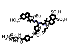 CCCC[N+]1=C(/C=C/C(=C/C=C2/N(CCCS(=O)(=O)O)c3ccc4c(S(=O)(=O)O)cc(S(=O)(=O)O)cc4c3C2(C)C)c2ccc(C(=O)NCc3ccc(C(=O)Nc4nnc(S(N)(=O)=O)s4)cc3)cn2)C(C)(C)c2c1ccc1ccc(S(=O)(=O)O)cc21